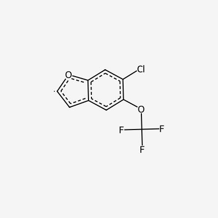 FC(F)(F)Oc1cc2c[c]oc2cc1Cl